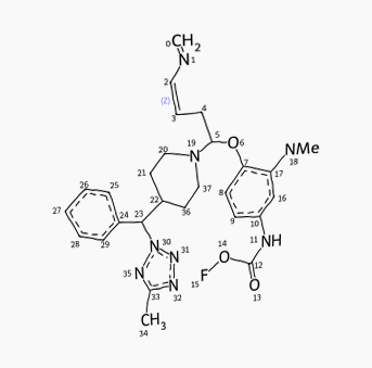 C=N/C=C\CC(Oc1ccc(NC(=O)OF)cc1NC)N1CCC(C(c2ccccc2)n2nnc(C)n2)CC1